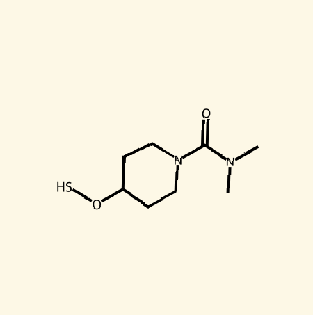 CN(C)C(=O)N1CCC(OS)CC1